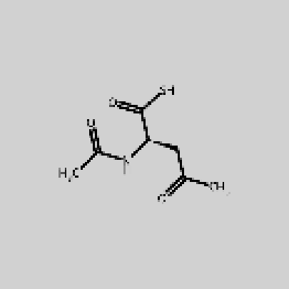 CC(=O)C[C@@H](NC(C)=O)C(=O)S